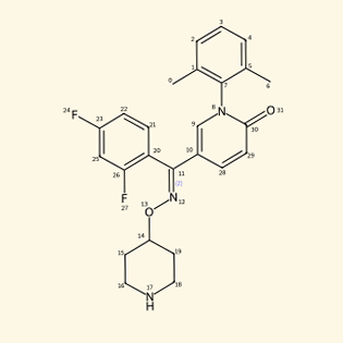 Cc1cccc(C)c1-n1cc(/C(=N/OC2CCNCC2)c2ccc(F)cc2F)ccc1=O